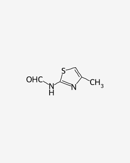 Cc1csc(NC=O)n1